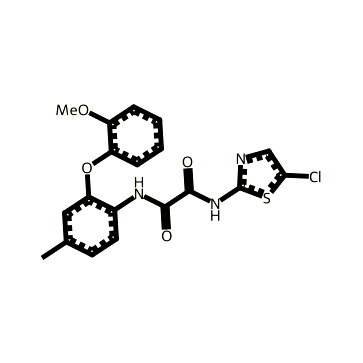 COc1ccccc1Oc1cc(C)ccc1NC(=O)C(=O)Nc1ncc(Cl)s1